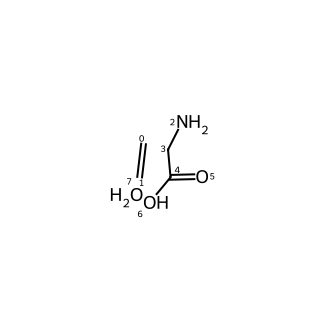 C=C.NCC(=O)O.O